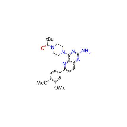 COc1ccc(-c2ccc3nc(N)nc(N4CCN(C(=O)C(C)(C)C)CC4)c3n2)cc1OC